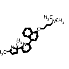 CC1=NC(C)(c2cccc(-c3ccc(OCCCN(C)C)c4ccccc34)n2)C=C1